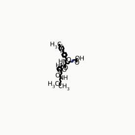 CC(C)CCNC(=O)Cn1cccc(NC(=O)C(CC/C=C/C(=O)O)NC(=O)c2ccc(N3CCN(C)CC3)cc2)c1=O